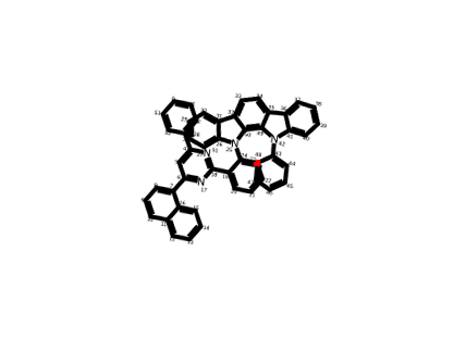 c1ccc(-c2cc(-c3cccc4ccccc34)nc(-c3ccccc3-n3c4ccccc4c4ccc5c6ccccc6n(-c6ccccc6)c5c43)n2)cc1